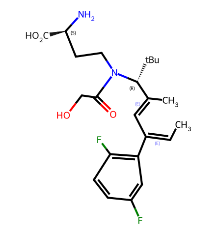 C/C=C(\C=C(/C)[C@H](N(CC[C@H](N)C(=O)O)C(=O)CO)C(C)(C)C)c1cc(F)ccc1F